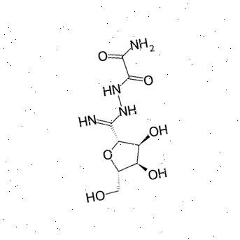 N=C(NNC(=O)C(N)=O)[C@H]1O[C@@H](CO)[C@H](O)[C@@H]1O